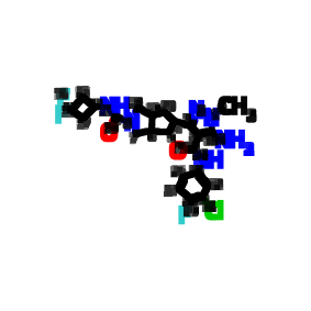 Cn1nc(C2CC3CN(C(=O)NC4CC(F)(F)C4)CC3C2)c(C(=O)Nc2ccc(F)c(Cl)c2)c1N